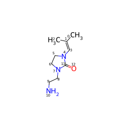 CC(C)=CN1CCN(CCN)C1=O